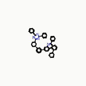 c1ccc(-c2nc(-c3ccccc3)nc(-c3cccc(-c4cccc(-c5ccc6c(c5)nc(-c5ccccc5)c5cccc(-c7ccccc7)c56)c4)c3)n2)cc1